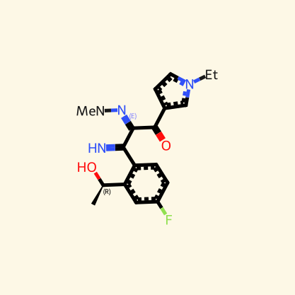 CCn1ccc(C(=O)/C(=N/NC)C(=N)c2ccc(F)cc2[C@@H](C)O)c1